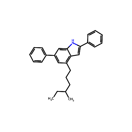 CCC(C)CCCc1cc(-c2ccccc2)cc2[nH]c(-c3ccccc3)cc12